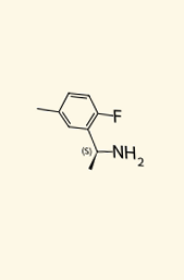 Cc1ccc(F)c([C@H](C)N)c1